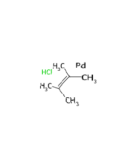 CC(C)=C(C)C.Cl.[Pd]